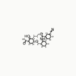 CCCc1c(OCc2ccccc2NC(=O)c2cccc(C#N)c2)ccc(C(C)=O)c1O